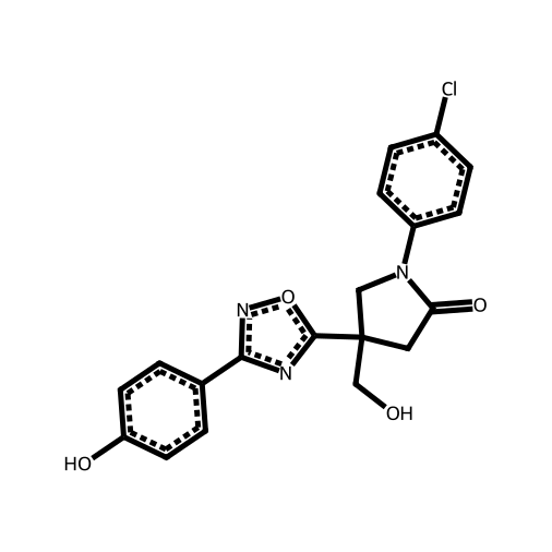 O=C1CC(CO)(c2nc(-c3ccc(O)cc3)no2)CN1c1ccc(Cl)cc1